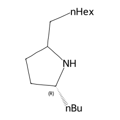 CCCCCCCC1CC[C@@H](CCCC)N1